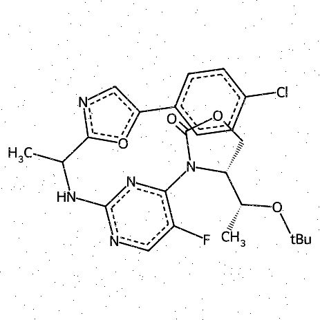 CC(Nc1ncc(F)c(N2C(=O)OC[C@@H]2[C@@H](C)OC(C)(C)C)n1)c1ncc(-c2ccc(Cl)cc2)o1